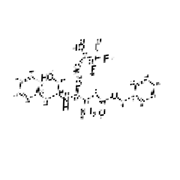 NC(CC(=O)OCc1ccccc1)C(=O)NC(CO)Cc1ccccc1.O=C(O)C(F)(F)F